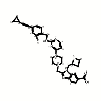 O=C(O)c1ccc2nc(CN3CCN(c4ccnc(OCc5ccc(C#CC6CC6)cc5F)n4)CC3)n(CC3CCO3)c2c1